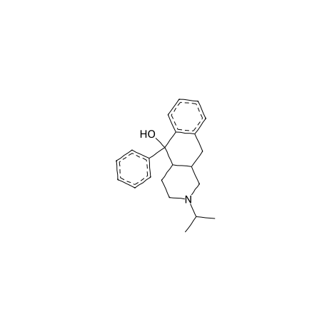 CC(C)N1CCC2C(Cc3ccccc3C2(O)c2ccccc2)C1